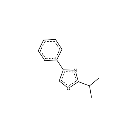 CC(C)c1nc(-c2ccccc2)co1